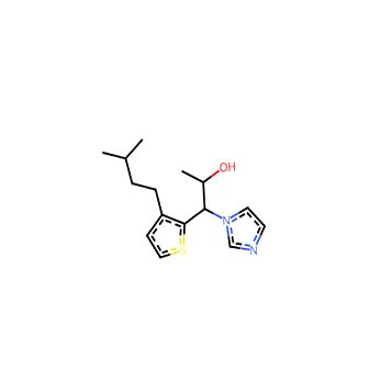 CC(C)CCc1ccsc1C(C(C)O)n1ccnc1